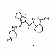 O=C(O)C1CCCCC1C(=O)Nc1sc2c(c1CNC1CCC(F)(F)CC1)CCC2